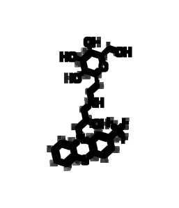 OC[C@H]1O[C@H](CCNCC(O)CN2c3ccccc3Sc3ccc(C(F)(F)F)cc32)[C@H](O)[C@@H](O)[C@@H]1O